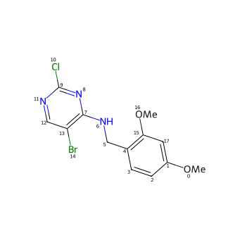 COc1ccc(CNc2nc(Cl)ncc2Br)c(OC)c1